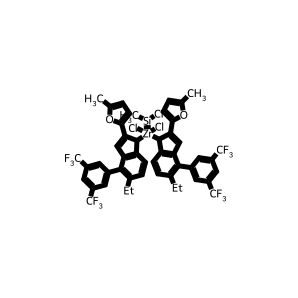 CCc1ccc2c(c1-c1cc(C(F)(F)F)cc(C(F)(F)F)c1)C=C(c1ccc(C)o1)[CH]2[Zr]([Cl])([Cl])([CH]1C(c2ccc(C)o2)=Cc2c1ccc(CC)c2-c1cc(C(F)(F)F)cc(C(F)(F)F)c1)=[Si](C)C